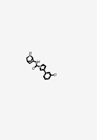 O=C(NC1CC2CNC1C2)n1ccc(-c2cccc(Cl)c2)c1